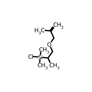 C=C(C)COCC(C)[Si](C)(C)Cl